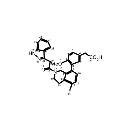 COc1ccc(CC(=O)O)cc1-c1ccc(F)c2c1CN(C(=O)Cc1n[nH]c3ccccc13)CC2